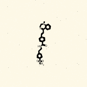 CN1CCN=C(/C=C/c2ccc(C(=O)NCCc3ccc(S(N)(=O)=O)cc3)cc2)c2ccccc21